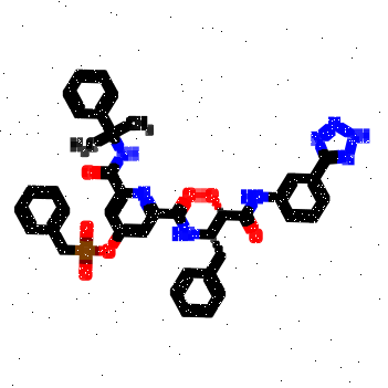 CC(C)(NC(=O)c1cc(OS(=O)(=O)Cc2ccccc2)cc(C(=O)N[C@@H](Cc2ccccc2)[C@H](O)C(=O)Nc2cccc(-c3nn[nH]n3)c2)n1)c1ccccc1